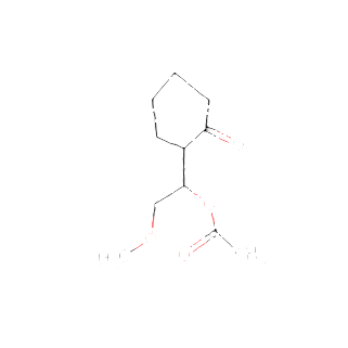 COCC(OC(C)=O)C1CCCCC1=O